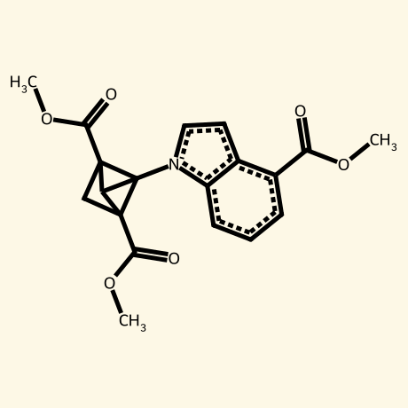 COC(=O)c1cccc2c1ccn2C1C2(C(=O)OC)CC1(C(=O)OC)C2